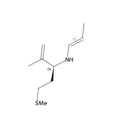 C=C(C)[C@H](CCSC)N/C=C/C